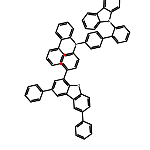 c1ccc(-c2ccc3oc4c(-c5ccc(N(c6ccc(-c7ccccc7-n7c8ccccc8c8ccccc87)cc6)c6ccccc6-c6ccccc6)cc5)cc(-c5ccccc5)cc4c3c2)cc1